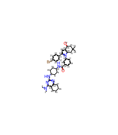 CN(C)c1nc(NC2CCC(NC(=O)c3cccc(-n4c(-c5ccc(Br)cc5)cc5c4CC(C)(C)CC5=O)c3)CC2)nc2c1CCCC2